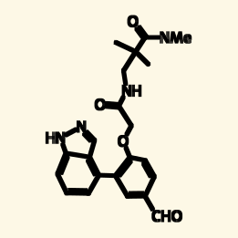 CNC(=O)C(C)(C)CNC(=O)COc1ccc(C=O)cc1-c1cccc2[nH]ncc12